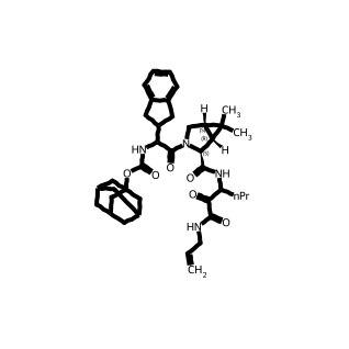 C=CCNC(=O)C(=O)C(CCC)NC(=O)[C@@H]1[C@@H]2[C@H](CN1C(=O)C(NC(=O)OC13CC4CC(CC(C4)C1)C3)C1Cc3ccccc3C1)C2(C)C